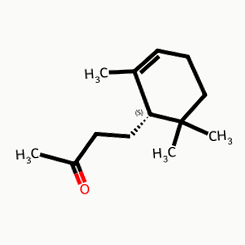 CC(=O)CC[C@@H]1C(C)=CCCC1(C)C